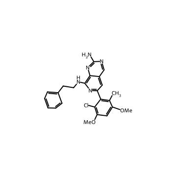 COc1cc(OC)c(Cl)c(-c2cc3cnc(N)nc3c(NCCc3ccccc3)n2)c1C